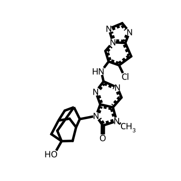 Cn1c(=O)n(C2C3CC4CC2CC(O)(C4)C3)c2nc(Nc3cn4ncnc4cc3Cl)ncc21